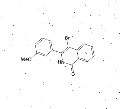 COc1cccc(-c2[nH]c(=O)c3ccccc3c2Br)c1